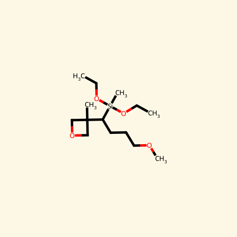 CCO[Si](C)(OCC)C(CCCOC)C1(C)COC1